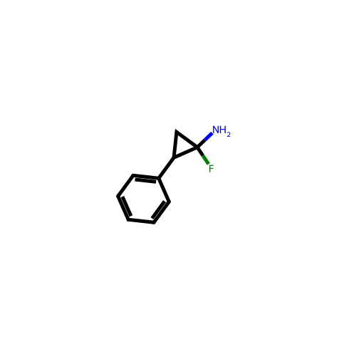 NC1(F)CC1c1ccccc1